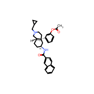 CC(=O)Oc1cccc([C@@]23CCN(CC4CC4)C[C@H]2CC[C@H](NC(=O)c2ccc4ccccc4c2)C3)c1